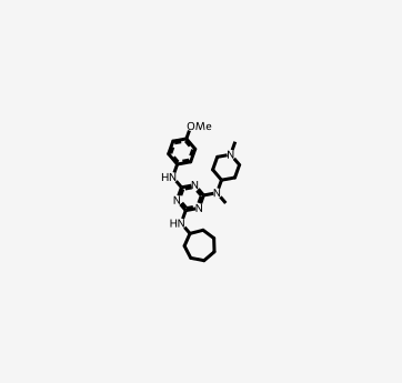 COc1ccc(Nc2nc(NC3CCCCCC3)nc(N(C)C3CCN(C)CC3)n2)cc1